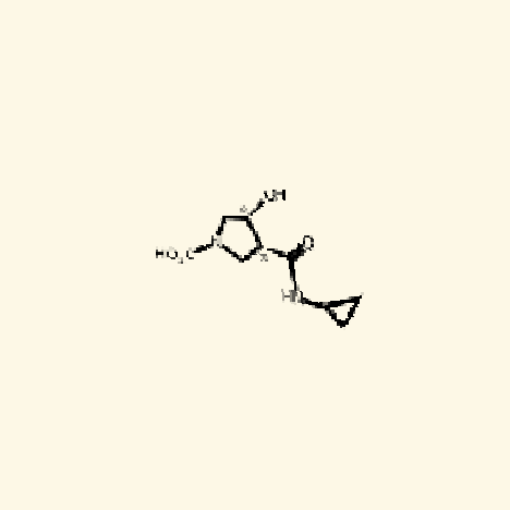 O=C(NC1CC1)[C@H]1CN(C(=O)O)C[C@H]1O